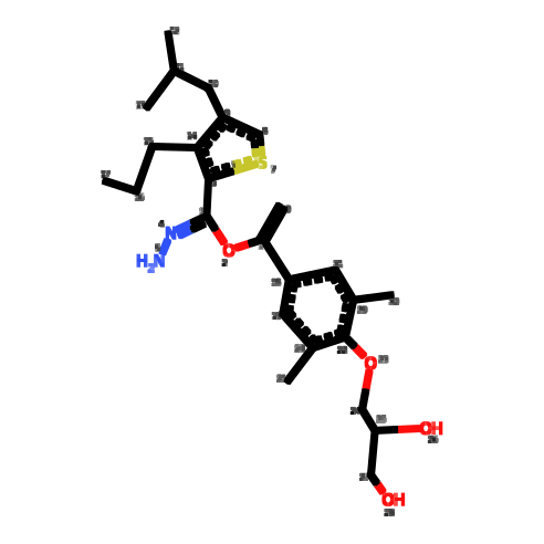 C=C(O/C(=N\N)c1scc(CC(C)C)c1CCC)c1cc(C)c(OCC(O)CO)c(C)c1